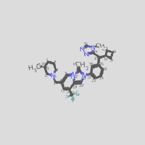 C=C1N2C=C(CN3CCC[C@H](C)C3)C=C(C(F)(F)F)C2=CN1c1cccc(C(c2nncn2C)C2CCC2)c1